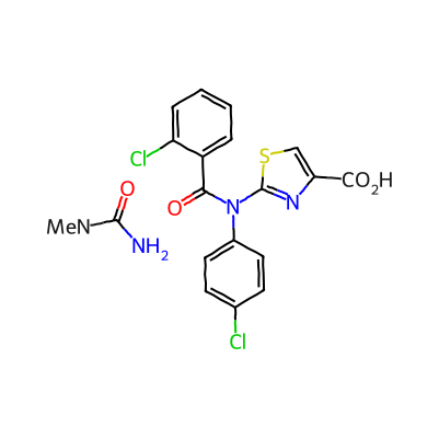 CNC(N)=O.O=C(O)c1csc(N(C(=O)c2ccccc2Cl)c2ccc(Cl)cc2)n1